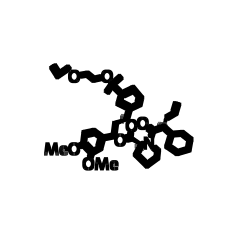 C=CCOCCOC(C)(C)c1cccc([C@H](CCc2ccc(OC)c(OC)c2)OC(=O)[C@@H]2CCCCN2C(=O)[C@H](CC=C)C2CCCCC2)c1